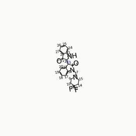 O=C1/C(=C2/C(=O)N(CN3CCC(F)(F)CC3)c3ccccc32)Nc2ccccc21